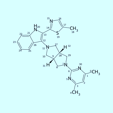 Cc1cc(C)nc(N2C[C@@H]3CN(c4c(-c5ncc(C)s5)[nH]c5ccccc45)C[C@@H]3C2)n1